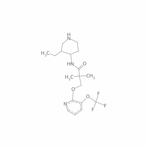 CCC1CNCCC1NC(=O)C(C)(C)COc1ncccc1OC(F)(F)F